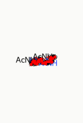 CC(=O)N[C@@H](C(=O)N1CCC[C@H]1c1nc2cc(-c3cnc(-c4cccc5[nH]c([C@@H]6CCCN6C(=O)[C@H](NC(C)=O)c6ccccc6)nc45)o3)ccc2[nH]1)c1ccccc1